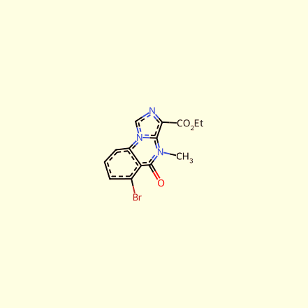 CCOC(=O)c1ncn2c3cccc(Br)c3c(=O)n(C)c12